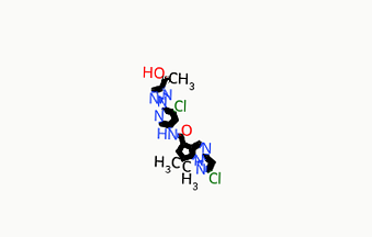 C[C@H](O)c1cnn(-c2ncc(NC(=O)C3CC(C)(C)c4c3cnc3cc(Cl)nn43)cc2Cl)n1